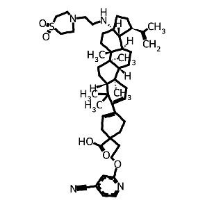 C=C(C)[C@@H]1CC[C@]2(NCCN3CCS(=O)(=O)CC3)CC[C@]3(C)[C@H](CC[C@@H]4[C@@]5(C)CC=C(C6=CCC(CCOc7cc(C#N)ccn7)(C(=O)O)CC6)C(C)(C)[C@@H]5CC[C@]43C)[C@@H]12